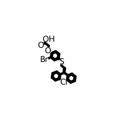 O=C(O)COc1ccc(SCC=C(c2ccccc2)c2ccccc2Cl)cc1Br